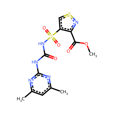 COC(=O)c1nscc1S(=O)(=O)NC(=O)Nc1nc(C)cc(C)n1